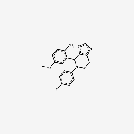 COc1ccc(N)c(C2c3scnc3CCN2c2ccc(F)cc2)c1